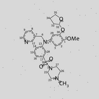 COc1ccc(N(Cc2cccnc2)c2cccc(S(=O)(=O)N3CCN(C)CC3)c2)cc1OC1CCCO1